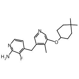 Cc1c(Cc2ccnc(N)c2F)cncc1OC1CCC(C)(C)CC1